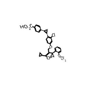 O=C(O)c1ccc([C@H]2C[C@H]2c2ccc(OCc3c(-c4ccccc4OC(F)(F)F)noc3C3CC3)cc2Cl)cc1